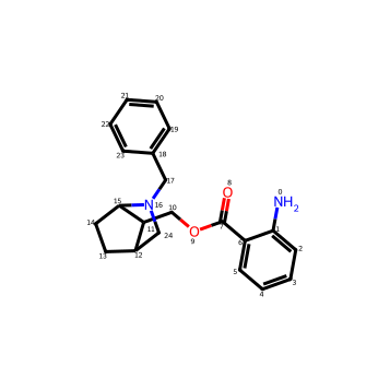 Nc1ccccc1C(=O)OCC1C2CCC1N(Cc1ccccc1)C2